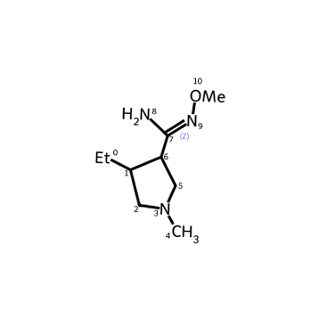 CCC1CN(C)CC1/C(N)=N/OC